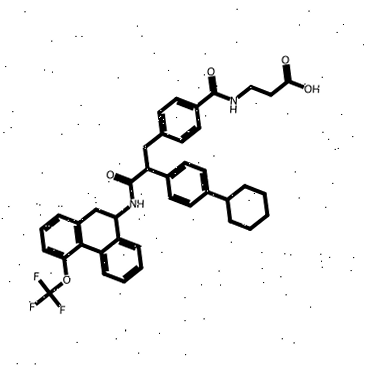 O=C(O)CCNC(=O)c1ccc(CC(C(=O)NC2Cc3cccc(OC(F)(F)F)c3-c3ccccc32)c2ccc(C3CCCCC3)cc2)cc1